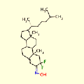 CC(C)CCC[C@@H](C)C1CCC2C3CCC4=C/C(=N/O)C(F)(F)CC4(C)C3CCC21C